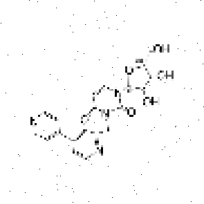 O=c1ccn([C@@H]2O[C@H](CO)C(O)C2O)c(=O)n1Cc1cc(-c2ccncc2)ccn1